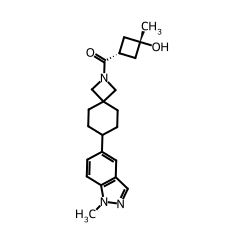 Cn1ncc2cc(C3CCC4(CC3)CN(C(=O)[C@H]3C[C@@](C)(O)C3)C4)ccc21